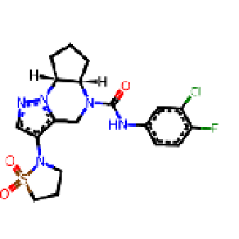 O=C(Nc1ccc(F)c(Cl)c1)N1Cc2c(N3CCCS3(=O)=O)cnn2[C@@H]2CCC[C@@H]21